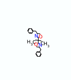 CCC(CC)(C1=NC(Cc2ccccc2)CO1)C1=NC(Cc2ccccc2)CO1